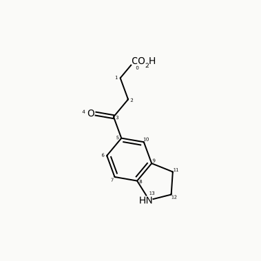 O=C(O)CCC(=O)c1ccc2c(c1)CCN2